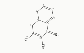 S=C1C2=CC=CCC2CC(Cl)=C1Cl